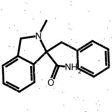 CN1Cc2ccccc2C1(Cc1ccccc1)C(N)=O